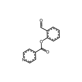 O=Cc1ccccc1OC(=O)c1ccncc1